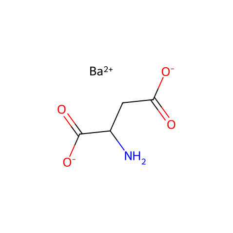 NC(CC(=O)[O-])C(=O)[O-].[Ba+2]